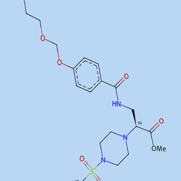 COCCOCOc1ccc(C(=O)NC[C@@H](C(=O)OC)N2CCN(S(=O)(=O)C(C)C)CC2)cc1